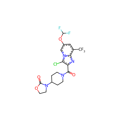 O=C(c1nc2c(C(F)(F)F)cc(OC(F)F)cn2c1Cl)N1CCC(N2CCOC2=O)CC1